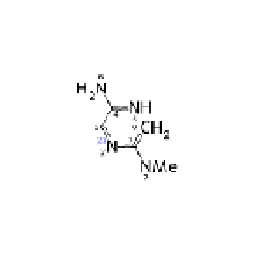 C=C(/N=C\C(=N)N)NC